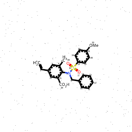 C=Cc1cc(C)c(N(Cc2ccccc2)S(=O)(=O)c2ccc(OC)cc2)c(C(=O)O)c1